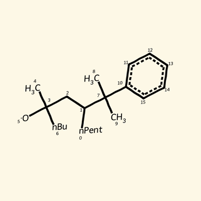 CCCCCC(CC(C)([O])CCCC)C(C)(C)c1ccccc1